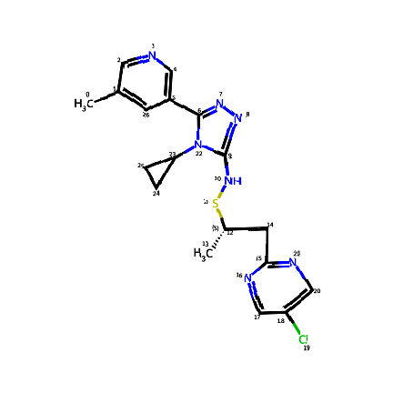 Cc1cncc(-c2nnc(NS[C@@H](C)Cc3ncc(Cl)cn3)n2C2CC2)c1